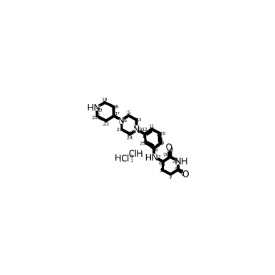 Cl.Cl.O=C1CCC(Nc2cccc(N3CCN(C4CCNCC4)CC3)c2)C(=O)N1